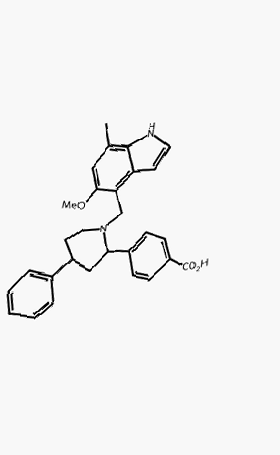 COc1cc(C)c2[nH]ccc2c1CN1CCC(c2ccccc2)CC1c1ccc(C(=O)O)cc1